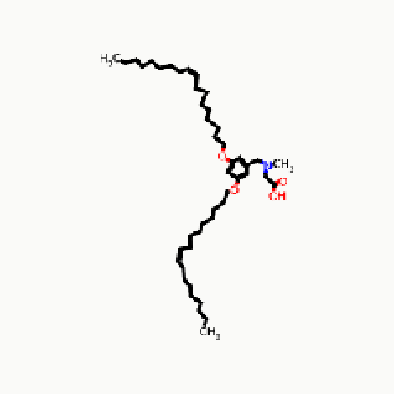 CCCCCCCC/C=C\CCCCCCCCOc1cc(CN(C)CC(=O)O)cc(OCCCCCCCC/C=C\CCCCCCCC)c1